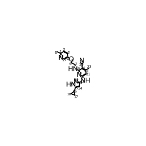 Cc1ccc(OCCNc2nc(Nc3cc(C4CC4)[nH]n3)cc(C)c2C#N)cn1